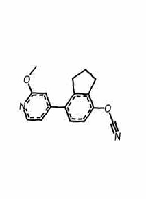 COc1cc(-c2ccc(OC#N)c3c2CCC3)ccn1